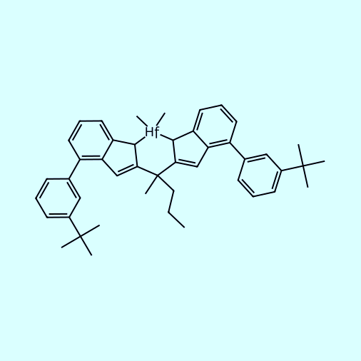 CCCC1(C)C2=Cc3c(-c4cccc(C(C)(C)C)c4)cccc3[CH]2[Hf]([CH3])([CH3])[CH]2C1=Cc1c(-c3cccc(C(C)(C)C)c3)cccc12